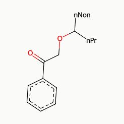 CCCCCCCCCC(CCC)OCC(=O)c1ccccc1